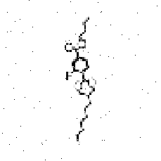 CCCCCCCC1COC(c2ccc(C(=O)OCCCC)cc2F)OC1